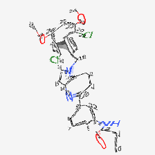 C=CC(=O)Nc1cccc(-c2ccc3c(ccn3Cc3c(Cl)c(OC)cc(OC)c3Cl)n2)c1